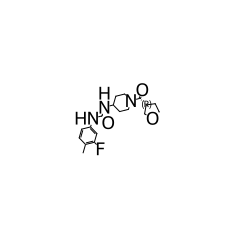 Cc1ccc(NC(=O)NC2CCN(C(=O)[C@@H]3CCOC3)CC2)cc1F